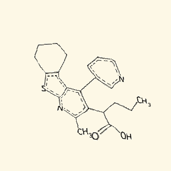 CCCC(C(=O)O)c1c(C)nc2sc3c(c2c1-c1cccnc1)CCCC3